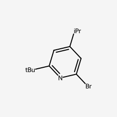 CC(C)c1cc(Br)nc(C(C)(C)C)c1